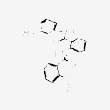 CCOc1ccccc1C(=O)Nc1ccccc1C(=O)Nc1cccc(C)c1